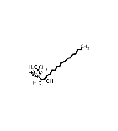 CCCCCCCCCCCCCCC[C@@H](O)[C@H](C)N(C=O)OC(C)(C)C